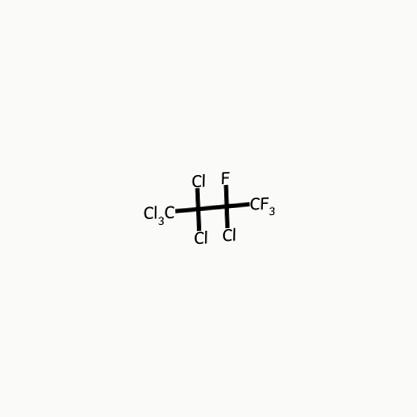 FC(F)(F)C(F)(Cl)C(Cl)(Cl)C(Cl)(Cl)Cl